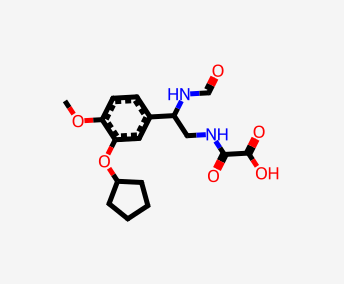 COc1ccc(C(CNC(=O)C(=O)O)NC=O)cc1OC1CCCC1